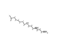 CC(C)CCCCCCOCCCNCCCN